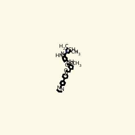 C=C/C=C(\C=C(C)C)c1n[nH]c2ccc(NC(=O)[C@]3(OC)CCC(CC(=O)N4CC=C(c5ccc(-c6ncccn6)cc5)CC4)C3)cc12